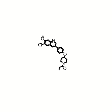 CCC(=O)N1CCC(Oc2ccc(-c3cnc4cc(OC)c(Cl)cc4c3)cc2)CC1